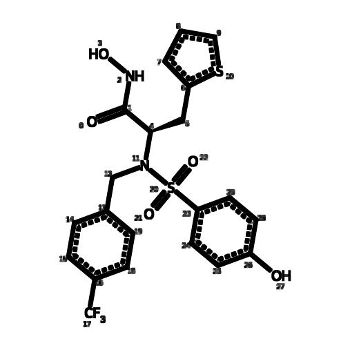 O=C(NO)[C@@H](Cc1cccs1)N(Cc1ccc(C(F)(F)F)cc1)S(=O)(=O)c1ccc(O)cc1